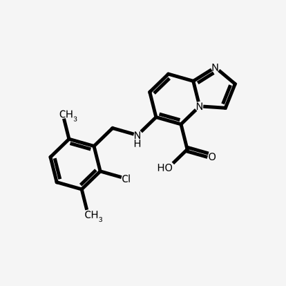 Cc1ccc(C)c(CNc2ccc3nccn3c2C(=O)O)c1Cl